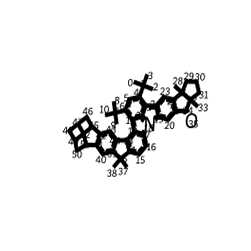 CC(C)(C)c1cc(C(C)(C)C)c2c3c4c(ccc3n3c5cc6c(cc5c1c23)C1(C)CCCC1(C)C6=O)C(C)(C)c1cc2c(cc1-4)C1CC3CC4CC2C341